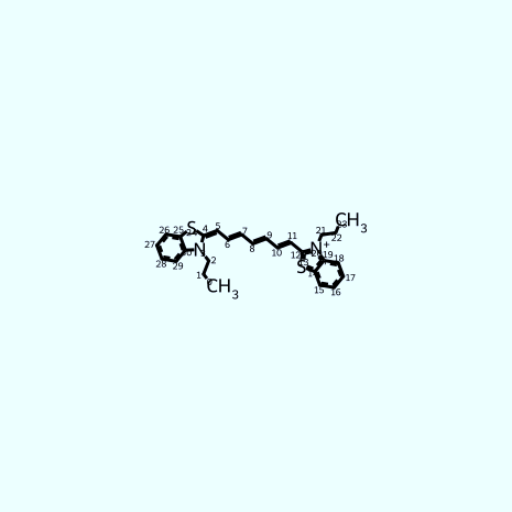 CCCN1C(=CC=CC=CC=Cc2sc3ccccc3[n+]2CCC)Sc2ccccc21